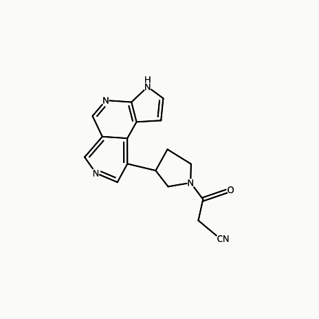 N#CCC(=O)N1CCC(c2cncc3cnc4[nH]ccc4c23)C1